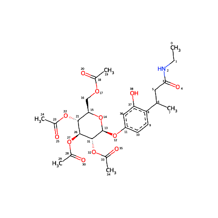 CCNC(=O)CC(C)c1ccc(O[C@@H]2O[C@H](COC(C)=O)[C@@H](OC(C)=O)[C@H](OC(C)=O)[C@H]2OC(C)=O)cc1O